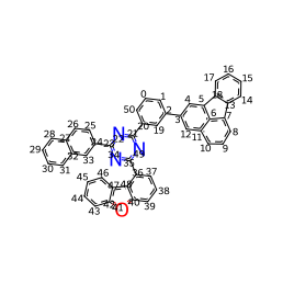 c1cc(-c2cc3c4c(cccc4c2)-c2ccccc2-3)cc(-c2nc(-c3ccc4ccccc4c3)nc(-c3cccc4oc5ccccc5c34)n2)c1